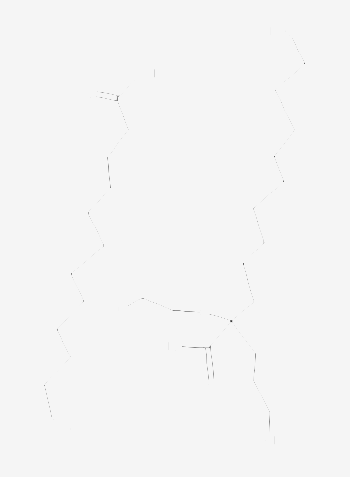 CCCCCCCCCCC(CCCC)(CCCC)C(=O)O.CCCCCCCCCCCC(=O)O